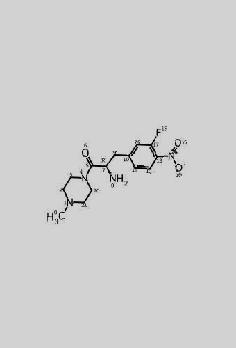 CN1CCN(C(=O)[C@H](N)Cc2ccc([N+](=O)[O-])c(F)c2)CC1